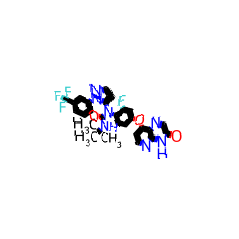 CC(C)(C)NC(=O)N(c1ccc(Oc2ccnc3[nH]c(=O)cnc23)cc1F)c1ccnn1-c1cccc(C(F)(F)F)c1